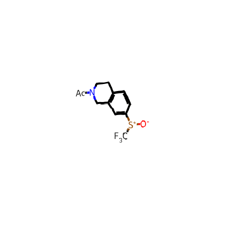 CC(=O)N1CCc2ccc([S+]([O-])C(F)(F)F)cc2C1